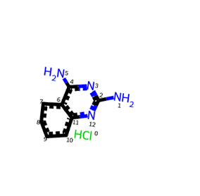 Cl.Nc1nc(N)c2ccccc2n1